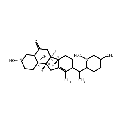 CC1=C2C[C@H]3[C@@H](CC(=O)C4C[C@@H](O)CC[C@@]43C)[C@@H]2CCC1C(C)C1CCC(C)CN1C